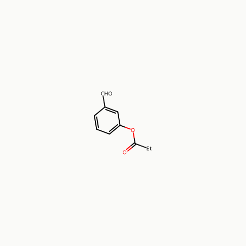 [CH2]CC(=O)Oc1cccc(C=O)c1